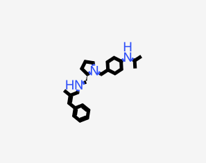 CC(=Cc1ccccc1)CNC[C@@H]1CCCN1CC1CCC(NC(C)C)CC1